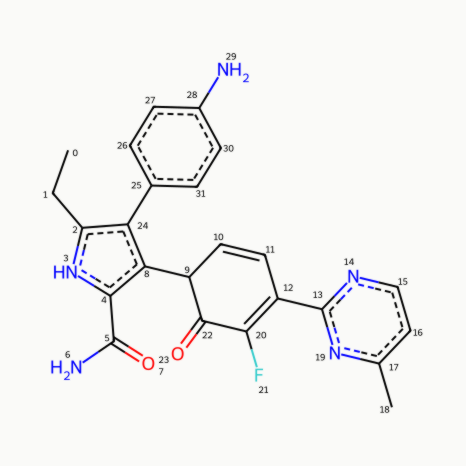 CCc1[nH]c(C(N)=O)c(C2C=CC(c3nccc(C)n3)=C(F)C2=O)c1-c1ccc(N)cc1